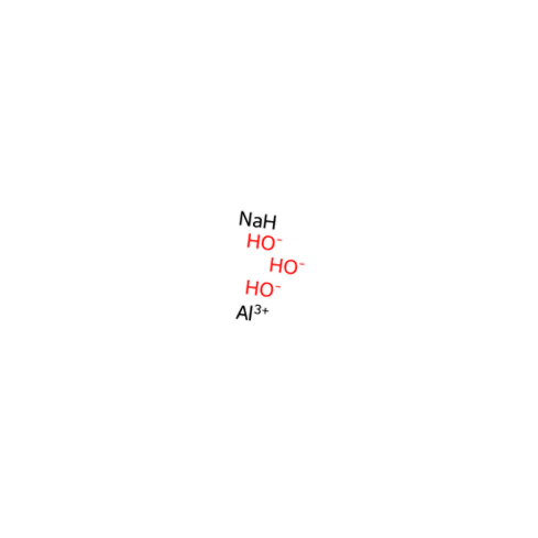 [Al+3].[NaH].[OH-].[OH-].[OH-]